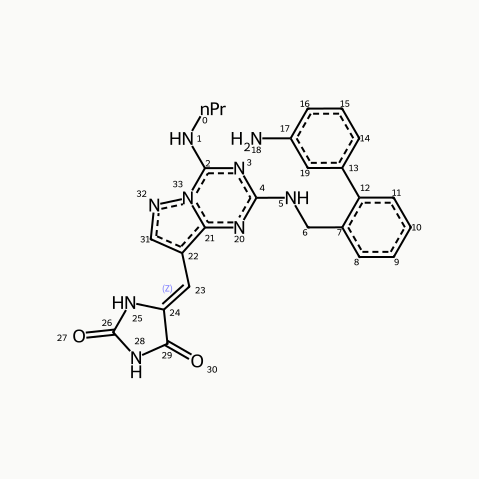 CCCNc1nc(NCc2ccccc2-c2cccc(N)c2)nc2c(/C=C3\NC(=O)NC3=O)cnn12